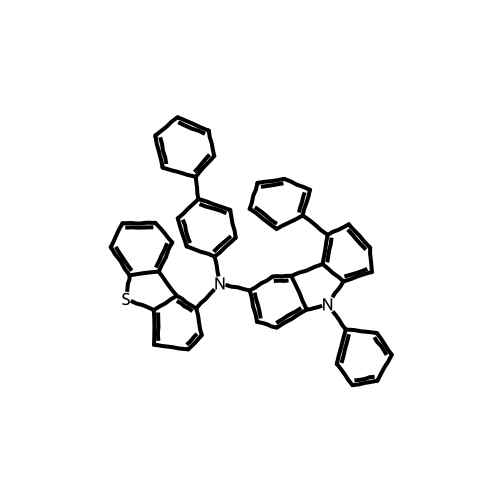 c1ccc(-c2ccc(N(c3ccc4c(c3)c3c(-c5ccccc5)cccc3n4-c3ccccc3)c3cccc4sc5ccccc5c34)cc2)cc1